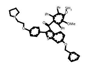 COc1c(O[SiH3])c(C(C)C)c(C(C)C)c(C(=O)c2c(-c3ccc(OCCN4CCCC4)cc3)sc3cc(OCc4ccccc4)ccc23)c1C(C)C